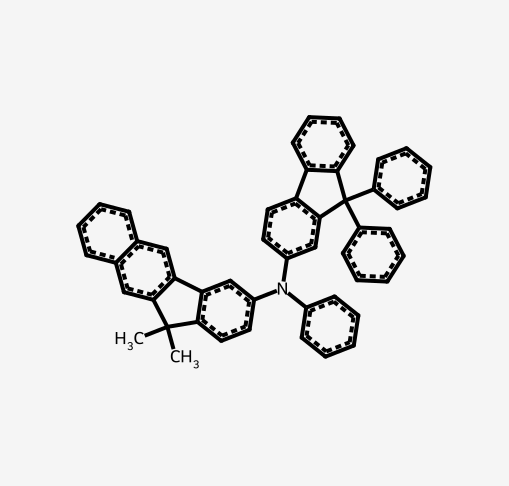 CC1(C)c2ccc(N(c3ccccc3)c3ccc4c(c3)C(c3ccccc3)(c3ccccc3)c3ccccc3-4)cc2-c2cc3ccccc3cc21